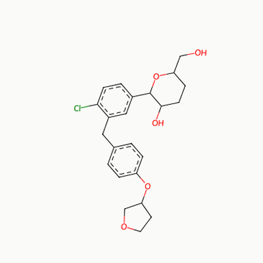 OCC1CCC(O)C(c2ccc(Cl)c(Cc3ccc(OC4CCOC4)cc3)c2)O1